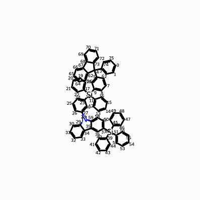 c1ccc(C2(c3cccc([Si](c4ccccc4)(c4ccccc4)c4cccc(-n5c6ccccc6c6cc([Si](c7ccccc7)(c7ccccc7)c7ccccc7)ccc65)c4)c3)c3ccccc3-c3ccccc32)cc1